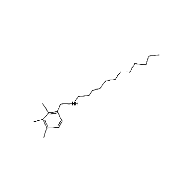 CCCCCCCCCCCCNCc1ccc(C)c(C)c1C